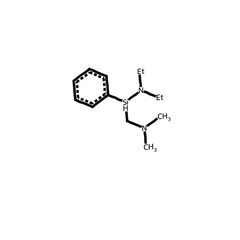 CCN(CC)[SiH](CN(C)C)c1ccccc1